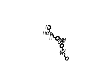 O=S(=O)(Nc1ccc(CCNCC(O)c2cccnc2)cc1)c1ccc(-c2nc(CCC3CCCC3)ns2)cc1